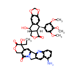 CCC1(O)C(=O)OCc2c1cc1n(c2=O)Cc2cc3c(N)cccc3nc2-1.COc1cc([C@@H]2c3cc4c(cc3[C@H](O)[C@H]3COC(=O)[C@H]23)OCO4)cc(OC)c1OC